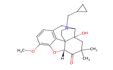 COc1ccc2c3c1O[C@H]1C(=O)C(C)(C)CC4(O)C(C2)N(CC2CC2)CCC314